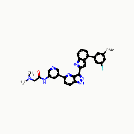 COc1cc(F)cc(-c2cccc3[nH]c(-c4n[nH]c5ccc(-c6cncc(NC(=O)CN(C)C)c6)nc45)cc23)c1